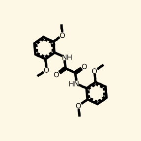 COc1cccc(OC)c1NC(=O)C(=O)Nc1c(OC)cccc1OC